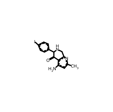 Cc1cc(N)c2c(n1)CNC(c1ccc(I)cc1)C2=O